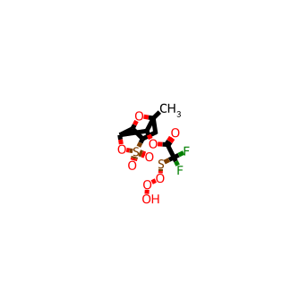 CC12CC3C(O1)C(OS3(=O)=O)C2OC(=O)C(F)(F)SOOO